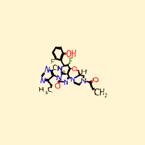 C=CC(=O)N1CCN2c3nc(=O)n(-c4c(C)ncnc4CC)c4nc(-c5c(O)cccc5F)c(F)c(c34)OC[C@H]2C1